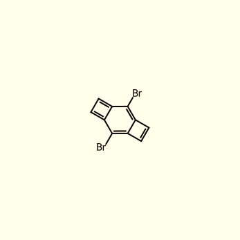 Brc1c2ccc2c(Br)c2ccc12